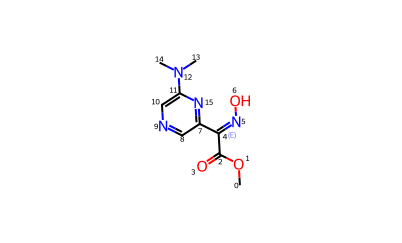 COC(=O)/C(=N/O)c1cncc(N(C)C)n1